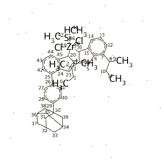 CCC(C)C1=Cc2c(C(C)CC)cccc2[CH]1[Zr]([Cl])([Cl])([CH]1C(C)=Cc2c(-c3ccc(C45CC6CC(CC(C6)C4)C5)cc3)cccc21)[SiH](C)C